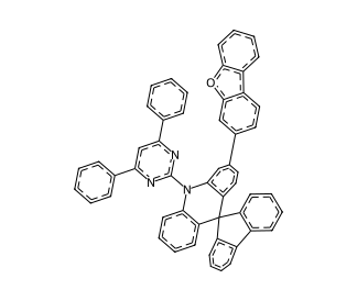 c1ccc(-c2cc(-c3ccccc3)nc(N3c4ccccc4C4(c5ccccc5-c5ccccc54)c4ccc(-c5ccc6c(c5)oc5ccccc56)cc43)n2)cc1